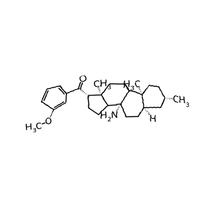 COc1cccc(C(=O)[C@H]2CCC3[C@]4(N)CC[C@@H]5C[C@@H](C)CC[C@]5(C)C4CC[C@@]32C)c1